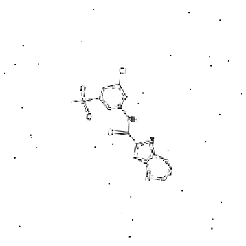 CS(=O)(=O)c1cc(Cl)cc(NC(=O)c2cc3ncccc3s2)c1